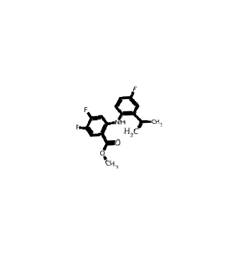 COC(=O)c1cc(F)c(F)cc1Nc1ccc(F)cc1C(C)C